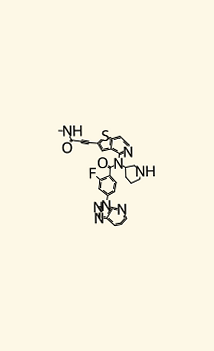 CNC(=O)C#Cc1cc2c(N(C(=O)c3ccc(-n4nnc5cccnc54)cc3F)[C@@H]3CCCNC3)nccc2s1